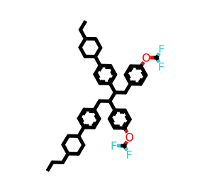 CCCC1CCC(c2ccc(CC(c3ccc(OC(F)F)cc3)C(Cc3ccc(OC(F)F)cc3)c3ccc(C4CCC(CC)CC4)cc3)cc2)CC1